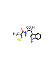 CC(CS)C(=O)NC(Cc1c[nH]c2ccccc12)C(=O)O